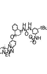 CCN1CCC[C@@]1(C)c1nnc2ccc(O[C@@H]3CC[C@H](NC(=O)Nc4cc(NS(C)(=O)=O)cc(C(C)(C)C)c4)c4ccccc43)cn12